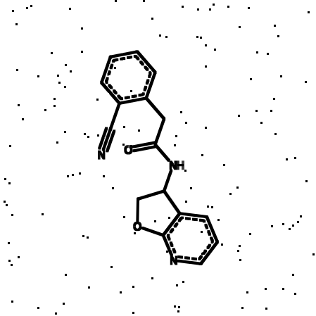 N#Cc1ccccc1CC(=O)NC1COc2ncccc21